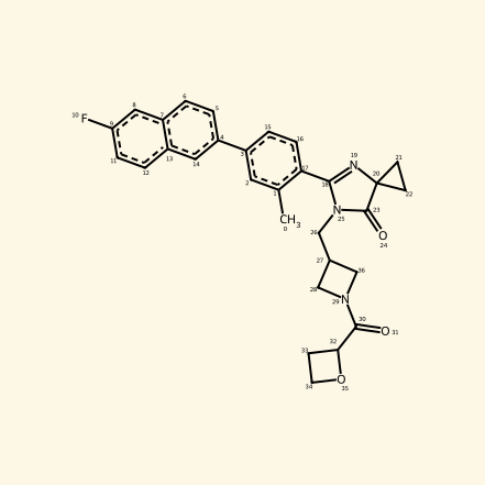 Cc1cc(-c2ccc3cc(F)ccc3c2)ccc1C1=NC2(CC2)C(=O)N1CC1CN(C(=O)C2CCO2)C1